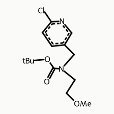 COCCN(Cc1ccc(Cl)nc1)C(=O)OC(C)(C)C